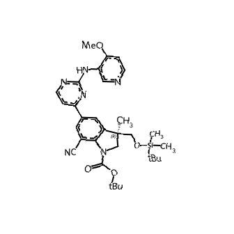 COc1ccncc1Nc1nccc(-c2cc(C#N)c3c(c2)[C@@](C)(CO[Si](C)(C)C(C)(C)C)CN3C(=O)OC(C)(C)C)n1